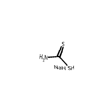 NC(=S)S.[NaH]